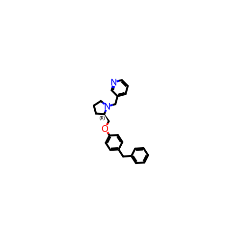 c1ccc(Cc2ccc(OC[C@H]3CCCN3Cc3cccnc3)cc2)cc1